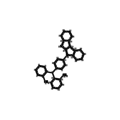 Cc1ccccc1C(c1ccc(-n2c3ccccc3n3c4ccccc4nc23)cc1)c1ccccc1C